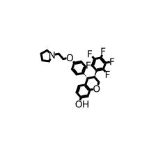 Oc1ccc2c(c1)OC[C@H](c1c(F)c(F)c(F)c(F)c1F)[C@H]2c1ccc(OCCN2CCCC2)cc1